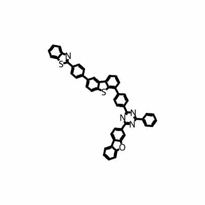 c1ccc(-c2nc(-c3ccc(-c4cccc5c4sc4ccc(-c6ccc(-c7nc8ccccc8s7)cc6)cc45)cc3)nc(-c3ccc4c(c3)oc3ccccc34)n2)cc1